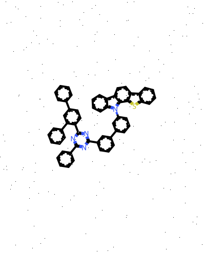 c1ccc(-c2ccc(-c3nc(-c4ccccc4)nc(-c4cccc(-c5cccc(-n6c7ccccc7c7ccc8c9ccccc9sc8c76)c5)c4)n3)c(-c3ccccc3)c2)cc1